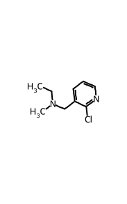 CCN(C)Cc1cccnc1Cl